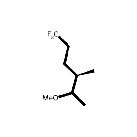 COC(C)[C@H](C)CCC(F)(F)F